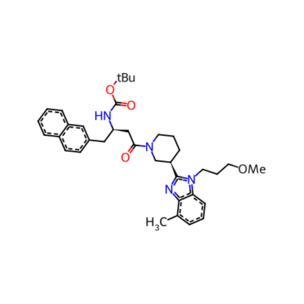 COCCCn1c([C@@H]2CCCN(C(=O)C[C@@H](Cc3ccc4ccccc4c3)NC(=O)OC(C)(C)C)C2)nc2c(C)cccc21